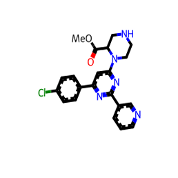 COC(=O)C1CNCCN1c1cc(-c2ccc(Cl)cc2)nc(-c2cccnc2)n1